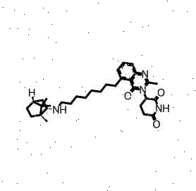 Cc1nc2cccc(CCCCCCCCN[C@H]3C[C@H]4CC[C@]3(C)C4(C)C)c2c(=O)n1C1CCC(=O)NC1=O